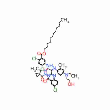 CCCCCCCCCCCCOC(=O)c1cc(NC(=O)/C(=N/c2ccc(N(CC)CCO)cc2C)c2nc3ccc(Cl)cc3c(=O)n2NC(=O)C2(CC)CC2)c(Cl)cc1Cl